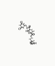 CC(CC(=N)C(=O)OCc1cc(Cl)cc(Cl)c1)NC(=O)CCCc1c[nH]nn1